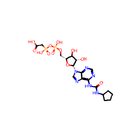 O=C(O)CP(=O)(O)OP(=O)(O)OC[C@H]1O[C@@H](n2cnc3c(NC(=O)NC4CCCC4)ncnc32)[C@@H](O)C1O